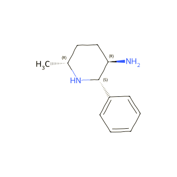 C[C@@H]1CC[C@@H](N)[C@H](c2ccccc2)N1